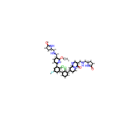 COc1nc(-c2cc(F)cc(-c3cccc(-c4ccn5c(=O)c(CNCC6CCC(=O)N6)cnc5c4)c3Cl)c2Cl)ccc1CNCC1CCC(=O)N1